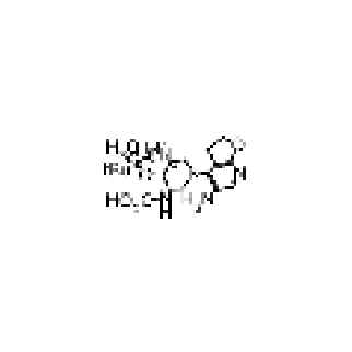 C[C@H]1CN(c2c(N)cnc3c2CCO3)C[C@@H](NC(=O)O)[C@H]1O[Si](C)(C)C(C)(C)C